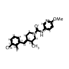 COc1ccc(NC(=O)N2CCC(=Cc3cccc(Cl)c3F)C(C)C2)cn1